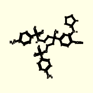 COc1ccc(C(C#N)(CCOS(=O)(=O)c2ccc(C)cc2)CCOS(=O)(=O)c2ccc(C)cc2)cc1OC1CCCC1